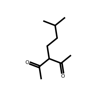 CC(=O)C(CCC(C)C)C(C)=O